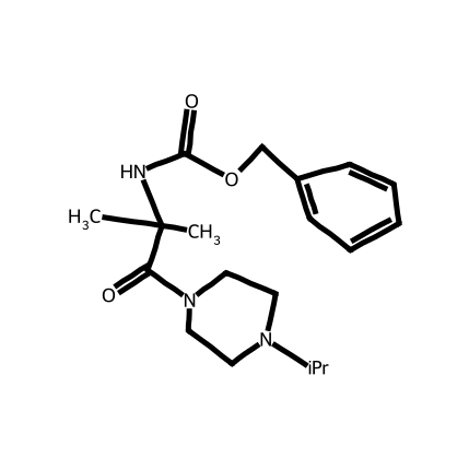 CC(C)N1CCN(C(=O)C(C)(C)NC(=O)OCc2ccccc2)CC1